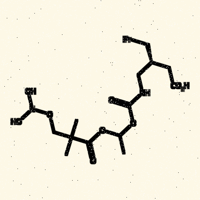 CC(C)C[C@H](CNC(=O)OC(C)OC(=O)C(C)(C)CON(O)O)CC(=O)O